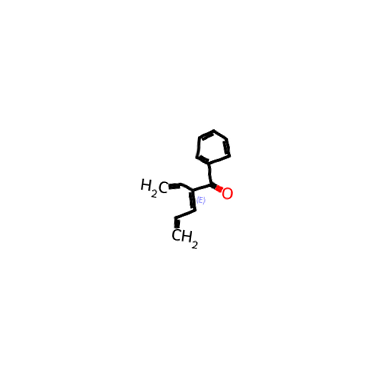 C=C/C=C(\C=C)C(=O)c1ccccc1